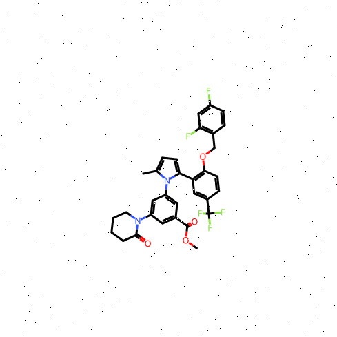 COC(=O)c1cc(N2CCCCC2=O)cc(-n2c(C)ccc2-c2cc(C(F)(F)F)ccc2OCc2ccc(F)cc2F)c1